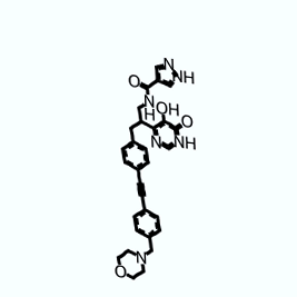 O=C(NCC(Cc1ccc(C#Cc2ccc(CN3CCOCC3)cc2)cc1)c1nc[nH]c(=O)c1O)c1cn[nH]c1